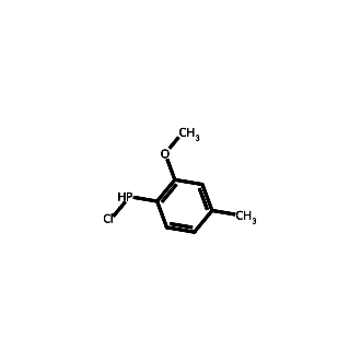 COc1cc(C)ccc1PCl